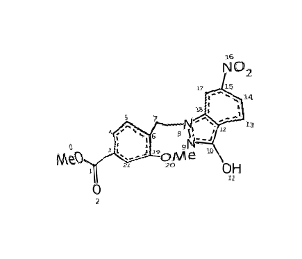 COC(=O)c1ccc(Cn2nc(O)c3ccc([N+](=O)[O-])cc32)c(OC)c1